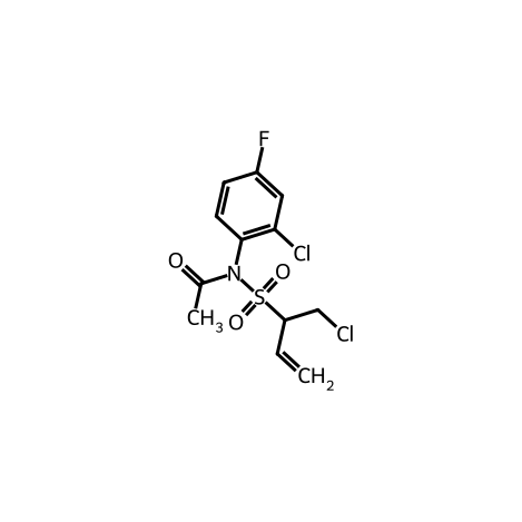 C=CC(CCl)S(=O)(=O)N(C(C)=O)c1ccc(F)cc1Cl